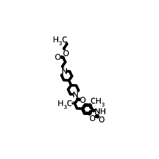 CCCOC(=O)CCN1CCC(C2CCN(C(=O)[C@H](C)Cc3cc(C)c4[nH]c(=O)oc4c3)CC2)CC1